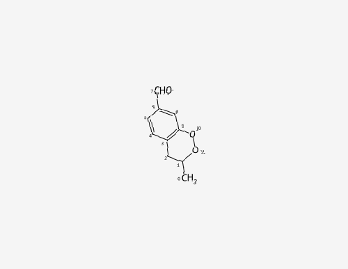 CC1Cc2ccc([C]=O)cc2OO1